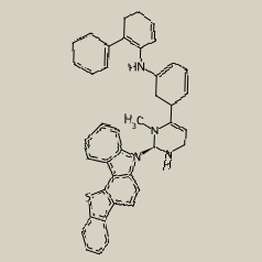 CN1C(C2C=CC=C(NC3=C(C4=CC=CCC4)CCC=C3)C2)=CCN[C@H]1n1c2ccccc2c2c3sc4ccccc4c3ccc21